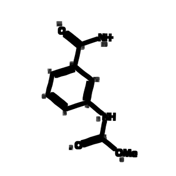 COC(=O)Nc1cccc(C([NH])=O)c1